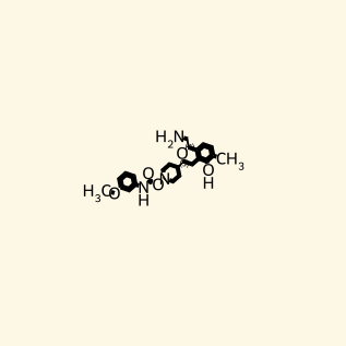 COc1cccc(NC(=O)ON2CCC([C@@H]3Cc4c(ccc(C)c4O)[C@H](CN)O3)CC2)c1